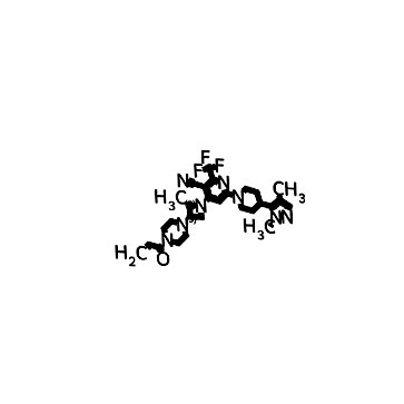 C=CC(=O)N1CCN([C@H]2CN(c3cc(N4CCC(c5c(C)cnn5C)CC4)nc(C(F)(F)F)c3C#N)[C@H]2C)CC1